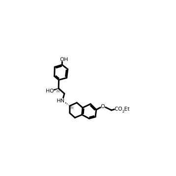 CCOC(=O)COc1ccc2c(c1)C[C@@H](NC[C@@H](O)c1ccc(O)cc1)CC2